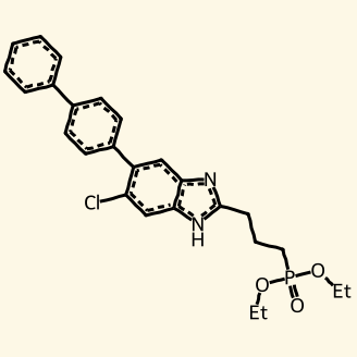 CCOP(=O)(CCCc1nc2cc(-c3ccc(-c4ccccc4)cc3)c(Cl)cc2[nH]1)OCC